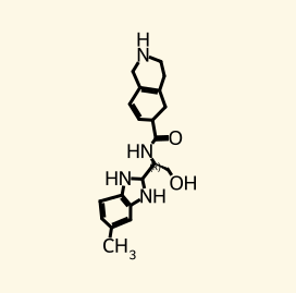 Cc1ccc2c(c1)NC([C@H](CO)NC(=O)C1C=CC3=C(CCNC3)C1)N2